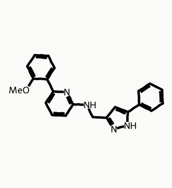 COc1ccccc1-c1cccc(NCc2cc(-c3ccccc3)[nH]n2)n1